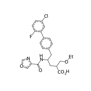 CCOCC(CC(Cc1ccc(-c2cc(Cl)ccc2F)cc1)NC(=O)c1cocn1)C(=O)O